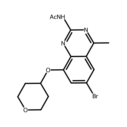 CC(=O)Nc1nc(C)c2cc(Br)cc(OC3CCOCC3)c2n1